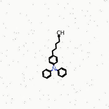 C#CCCCCc1ccc(N(c2ccccc2)c2ccccc2)cc1